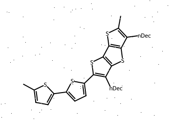 CCCCCCCCCCc1c(C)sc2c1sc1c(CCCCCCCCCC)c(-c3ccc(-c4ccc(C)s4)s3)sc12